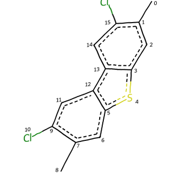 Cc1cc2sc3cc(C)c(Cl)cc3c2cc1Cl